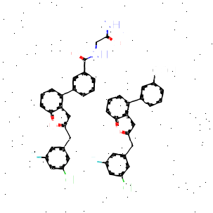 NC(=O)CNC(=O)c1cccc(-c2cccc3oc(Cc4cc(F)cc(Cl)c4)cc23)c1.O=C(O)c1cccc(-c2cccc3oc(Cc4cc(F)cc(Cl)c4)cc23)c1